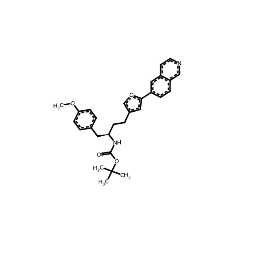 COc1ccc(C[C@@H](CCc2coc(-c3ccc4cnccc4c3)c2)NC(=O)OC(C)(C)C)cc1